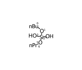 CCCCO[Si](O)(O)OCCC